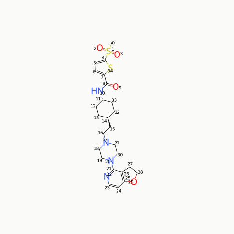 CS(=O)(=O)c1ccc(C(=O)N[C@H]2CC[C@H](CCN3CCN(c4nccc5c4CCO5)CC3)CC2)s1